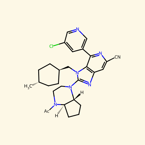 CC(=O)N1CCN(c2nc3cc(C#N)nc(-c4cncc(Cl)c4)c3n2C[C@H]2CC[C@H](C)CC2)[C@@H]2CCC[C@H]21